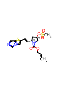 C=CCOC(=O)N1C[C@H](OS(C)(=O)=O)C[C@H]1C=Cc1cn2cncc2s1